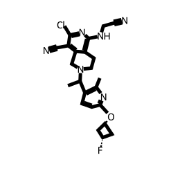 Cc1nc(O[C@H]2C[C@@H](F)C2)ccc1C(C)N1CCc2c(NCC#N)nc(Cl)c(C#N)c2C1